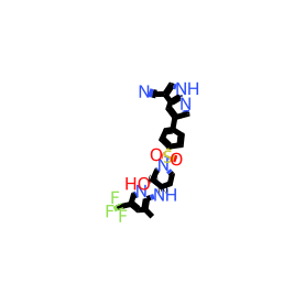 Cc1cc(C(F)(F)F)cnc1N[C@@H]1CCN(S(=O)(=O)c2ccc(-c3cnc4[nH]cc(C#N)c4c3)cc2)C[C@@H]1O